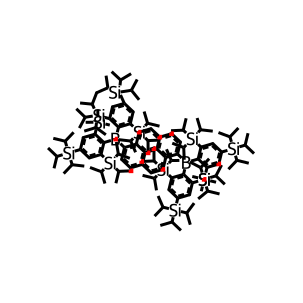 CC(C)[Si](c1cc([Si](C)(C)C)c(B(c2c([Si](C(C)C)(C(C)C)C(C)C)cc([Si](C(C)C)(C(C)C)C(C)C)cc2[Si](C(C)C)(C(C)C)C(C)C)c2ccc3ccc4c(B(c5c([Si](C)(C)C)cc([Si](C(C)C)(C(C)C)C(C)C)cc5[Si](C(C)C)(C(C)C)C(C)C)c5c([Si](C(C)C)(C(C)C)C(C)C)cc6cc5[Si](C(C)C)(C(C)C)C(C)CC(C)[Si]6(C(C)C)C(C)C)ccc5ccc2c3c54)c([Si](C(C)C)(C(C)C)C(C)C)c1)(C(C)C)C(C)C